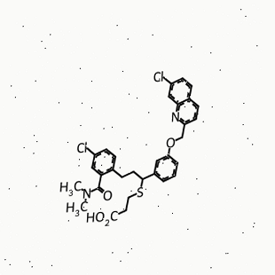 CN(C)C(=O)c1cc(Cl)ccc1CCC(SCCC(=O)O)c1cccc(OCc2ccc3ccc(Cl)cc3n2)c1